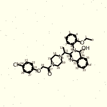 CCOc1ccccc1N1C(C(C)N2CCN(C(=O)COc3ccc(Cl)cc3)CC2)=Nc2ccccc2C1O